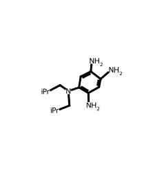 CC(C)CN(CC(C)C)c1cc(N)c(N)cc1N